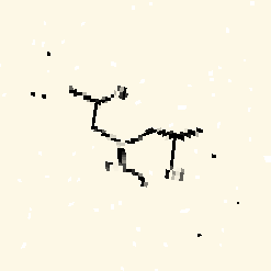 CNN(CC(C)O)CC(C)O